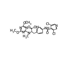 COc1nc(OC)nc(N(C)C(Cc2ccc(NC(=O)c3c(Cl)cncc3Cl)cc2)C(=O)O)n1